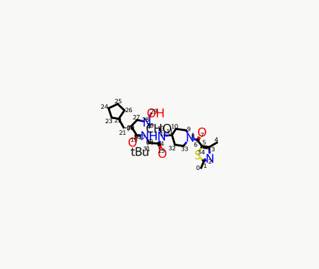 Cc1nc(C)c(C(=O)N2CCC(N(C)C(=O)[C@@H](NC(=O)[C@H](CC3CCCC3)CN(O)C=O)C(C)(C)C)CC2)s1